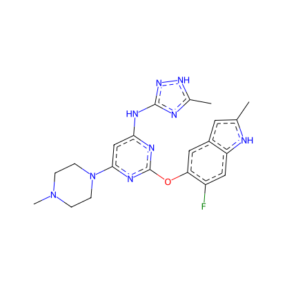 Cc1cc2cc(Oc3nc(Nc4n[nH]c(C)n4)cc(N4CCN(C)CC4)n3)c(F)cc2[nH]1